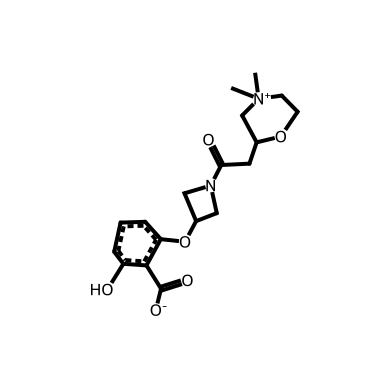 C[N+]1(C)CCOC(CC(=O)N2CC(Oc3cccc(O)c3C(=O)[O-])C2)C1